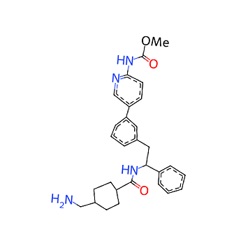 COC(=O)Nc1ccc(-c2cccc(CC(NC(=O)C3CCC(CN)CC3)c3ccccc3)c2)cn1